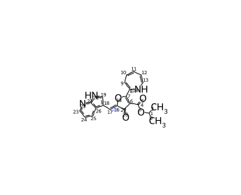 CC(C)OC(=O)C1=C(C2=CC=CC=CN2)O/C(=C\c2c[nH]c3ncccc23)C1=O